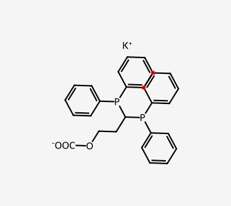 O=C([O-])OCCC(P(c1ccccc1)c1ccccc1)P(c1ccccc1)c1ccccc1.[K+]